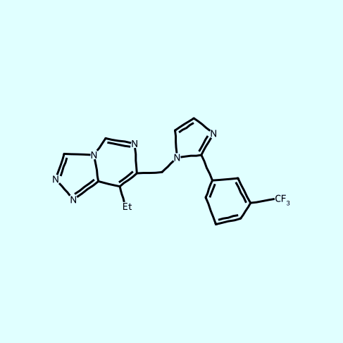 CCc1c(Cn2ccnc2-c2cccc(C(F)(F)F)c2)ncn2cnnc12